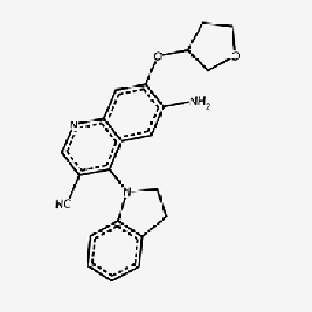 N#Cc1cnc2cc(OC3CCOC3)c(N)cc2c1N1CCc2ccccc21